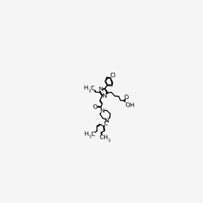 C=C/C=C(\C=C/CC)CN1CCCN(C(=O)/C=C/c2nc(CCCCC(=O)O)c(-c3ccc(Cl)cc3)nc2C=C)CC1